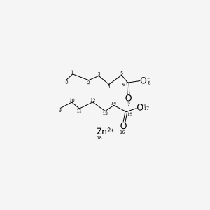 CCCCCCC(=O)[O-].CCCCCCC(=O)[O-].[Zn+2]